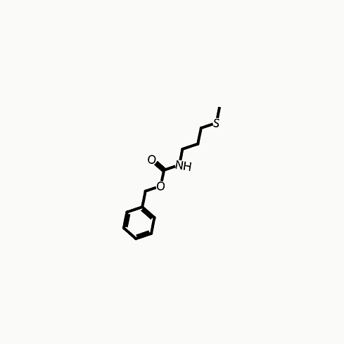 CSCCCNC(=O)OCc1ccccc1